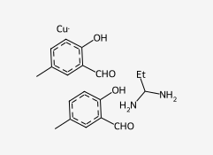 CCC(N)N.Cc1ccc(O)c(C=O)c1.Cc1ccc(O)c(C=O)c1.[Cu]